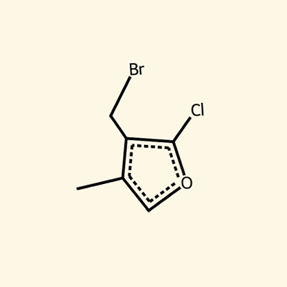 Cc1coc(Cl)c1CBr